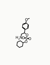 COc1ccc(C(CN)OS(=O)(=O)OC2CCCCC2)cc1